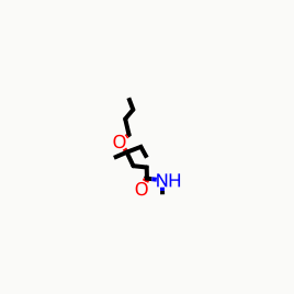 CCCCOC(C)(CC)CCC(=O)NC